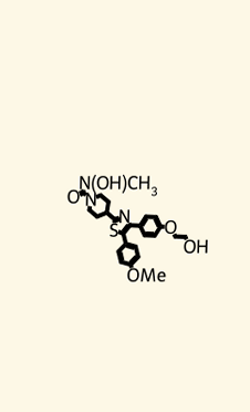 COc1ccc(-c2sc(C3CCN(C(=O)N(C)O)CC3)nc2-c2ccc(OCCO)cc2)cc1